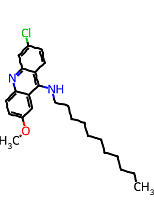 CCCCCCCCCCCNc1c2ccc(Cl)cc2nc2ccc(OC)cc12